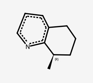 C[C@@H]1CCCc2cccnc21